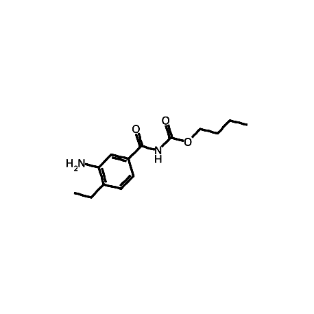 CCCCOC(=O)NC(=O)c1ccc(CC)c(N)c1